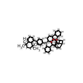 CC1(C)CCC(C)(C)c2c(-c3ccc(N(c4ccc5c(c4)C4(c6ccccc6-5)C5CC6CC7CC4C75C6)c4ccccc4-c4ccccc4)cc3)cccc21